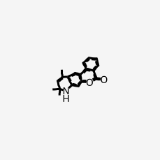 CC1=CC(C)(C)Nc2cc3oc(=O)c4ccccc4c3cc21